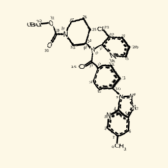 Cc1cnc2c(c1)nnn2-c1ccc(C(=O)N(c2ncccc2Cl)[C@@H]2CCCN(C(=O)OC(C)(C)C)C2)cc1